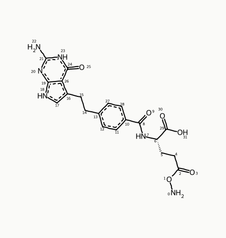 NOC(=O)CC[C@H](NC(=O)c1ccc(CCc2c[nH]c3nc(N)[nH]c(=O)c23)cc1)C(=O)O